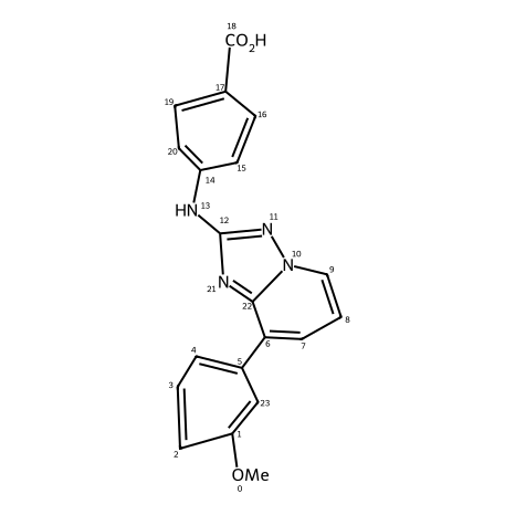 COc1cccc(-c2cccn3nc(Nc4ccc(C(=O)O)cc4)nc23)c1